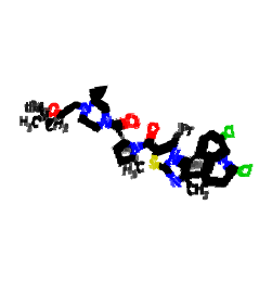 CC(C)C1=C(C(=O)N2[C@H](C)CC[C@@H]2C(=O)N2CCN(CCO[Si](C)(C)C(C)(C)C)C3(CC3)C2)SC2=N[C@@](C)(c3ccc(Cl)nc3)[C@@H](c3ccc(Cl)cc3)N21